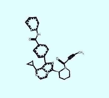 CC#CC(=O)N1CCCC[C@H]1c1nc(-c2ccc(C(=O)Nc3ccccn3)cc2)c2c(C3CC3)nccn12